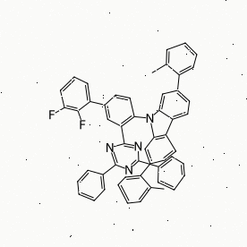 Cc1ccccc1-c1ccc2c3ccc(-c4ccccc4C)cc3n(-c3ccc(-c4cccc(F)c4F)cc3-c3nc(-c4ccccc4)nc(-c4ccccc4)n3)c2c1